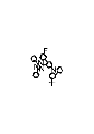 CC(C)(C)c1ccc2c(c1)c1ccccc1n2-c1ccc(-c2cccc(F)c2)c(-c2nc(-c3ccccc3)nc(-c3ccccc3)n2)c1